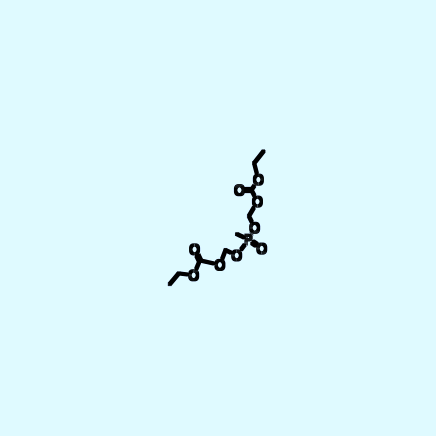 CCOC(=O)OCOP(C)(=O)OCOC(=O)OCC